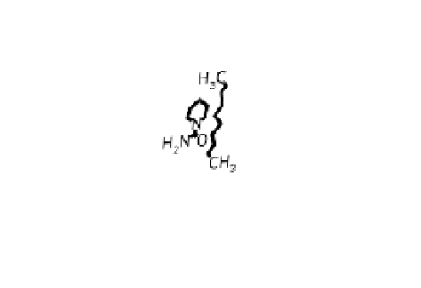 CCCCCCCCCC.NC(=O)N1CCCCC1